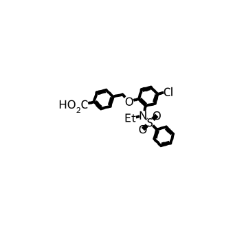 CCN(c1cc(Cl)ccc1OCc1ccc(C(=O)O)cc1)S(=O)(=O)c1ccccc1